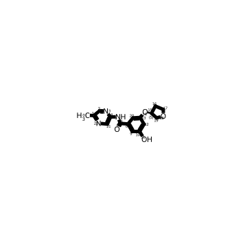 Cc1cnc(NC(=O)c2cc(O)cc(O[C@H]3CCOC3)c2)cn1